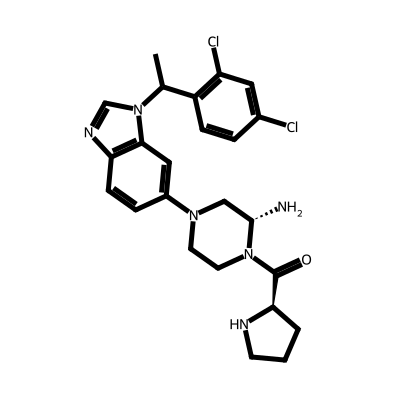 CC(c1ccc(Cl)cc1Cl)n1cnc2ccc(N3CCN(C(=O)[C@H]4CCCN4)[C@@H](N)C3)cc21